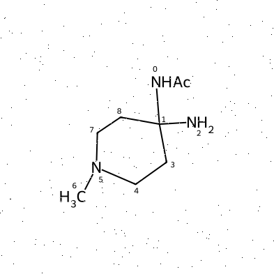 CC(=O)NC1(N)CCN(C)CC1